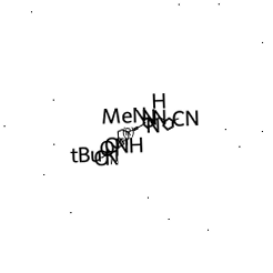 CNc1nc(Nc2cccc(C#N)c2)ncc1C#C[C@@H]1CCC[C@H](NC(=O)CN(C)C(=O)OC(C)(C)C)C1